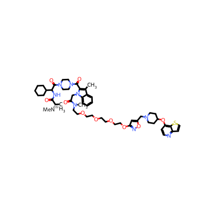 CN[C@@H](C)C(=O)NC(C(=O)N1CCN(C(=O)c2c(C)c3ccccc3n2CC(=O)N(C)CCOCCOCCOCCOc2cc(CN3CCC(Oc4ccnc5ccsc45)CC3)on2)CC1)C1CCCCC1